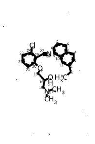 CCc1ccc2ccccc2c1.CN(C)CC(O)COc1cccc(Cl)c1C#N